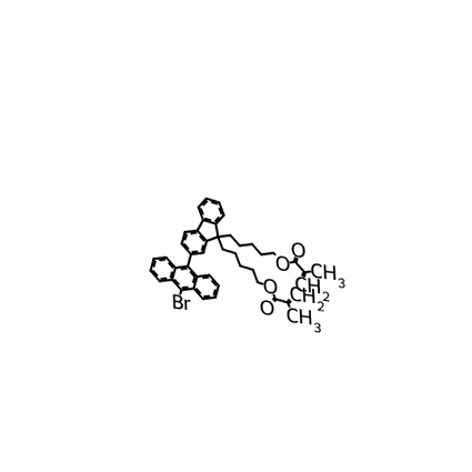 C=C(C)C(=O)OCCCCCC1(CCCCCOC(=O)C(=C)C)c2ccccc2-c2ccc(-c3c4ccccc4c(Br)c4ccccc34)cc21